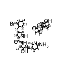 Cc1nc(N)ccc1CNC(=O)[C@H](C)NC(=O)[C@H]1C[C@H](Cc2ccccc2Br)CN1.O=C(O)C(F)(F)F.O=C(O)C(F)(F)F